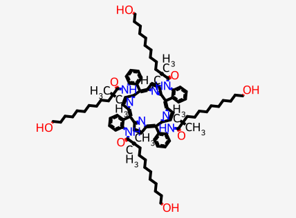 CC(C)(CCCCCCCCCCO)C(=O)Nc1ccccc1C1=C2C=CC(=N2)C(c2ccccc2NC(=O)C(C)(C)CCCCCCCCCCO)=C2C=CC(=N2)C(c2ccccc2NC(=O)C(C)(C)CCCCCCCCCCO)=C2C=CC(=N2)C(c2ccccc2NC(=O)C(C)(C)CCCCCCCCCCO)=C2C=CC1=N2